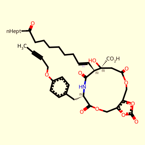 CC#CCOc1ccc(C[C@@H]2NC(=O)[C@@H](/C=C/CCCCCCC(=O)CCCCCCC)[C@](O)(C(=O)O)CC(=O)OCc3oc(=O)oc3COC2=O)cc1